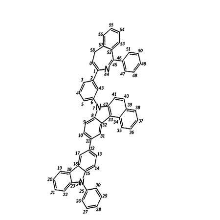 C1=C(c2cccc(-n3c4ccc(-c5ccc6c(c5)c5ccccc5n6-c5ccccc5)cc4c4c5ccccc5ccc43)c2)N=C(c2ccccc2)c2ccccc2C1